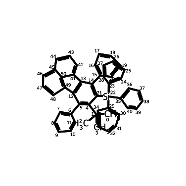 CC(C)(C)c1c(-c2ccccc2)c2c(c(-c3ccccc3)c1[Si](c1ccccc1)(c1ccccc1)c1ccccc1)-c1cccc3cccc-2c13